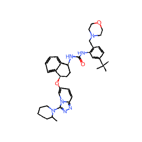 CC1CCCCN1c1nnc2ccc(O[C@@H]3CC[C@H](NC(=O)Nc4cc(C(C)(C)C)ccc4CN4CCOCC4)c4ccccc43)cn12